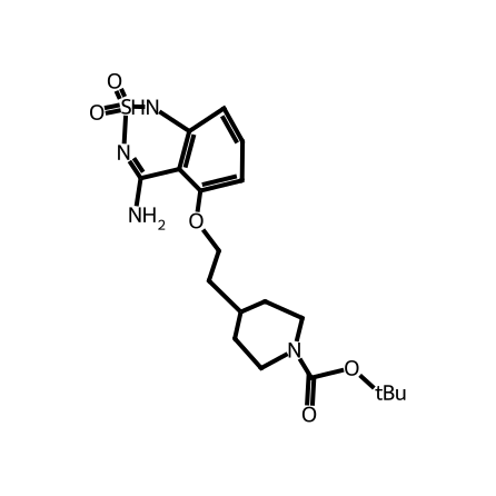 CC(C)(C)OC(=O)N1CCC(CCOc2cccc3c2C(N)=NS(=O)(=O)N3)CC1